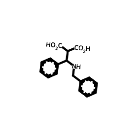 O=C(O)C(C(=O)O)C(NCc1ccccc1)c1ccccc1